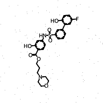 O=C(OCCCN1CCOCC1)c1ccc(NS(=O)(=O)c2cccc(-c3cc(F)ccc3O)c2)cc1O